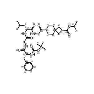 CC(C)C[C@@H](NC(=O)CNC(=O)[C@@H](Cc1ccccc1)NC(=O)OC(C)(C)C)C(=O)NCC(=O)N1CCC2(CC1)CN(C(=O)OC(C)C)C2